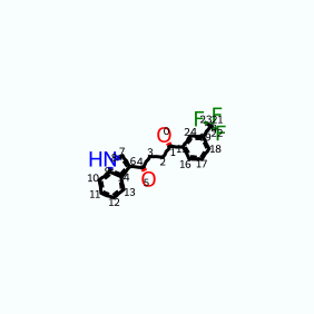 O=C(CCC(=O)c1c[nH]c2ccccc12)c1cccc(C(F)(F)F)c1